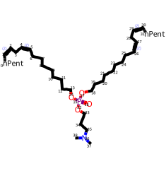 CCCCC/C=C\C/C=C\CCCCCCCCOP(=O)(OCCCCCCCC/C=C\C/C=C\CCCCC)OCCCN(C)C